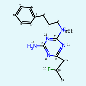 CCN(CCCc1ccccc1)c1nc(N)nc(CC(C)F)n1